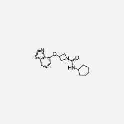 O=C(NC1CCCCC1)N1CC(Oc2cccc3scnc23)C1